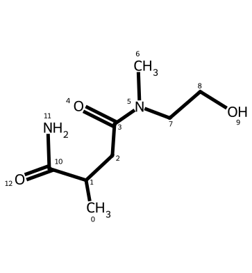 CC(CC(=O)N(C)CCO)C(N)=O